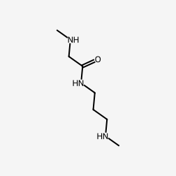 CNCCCNC(=O)CNC